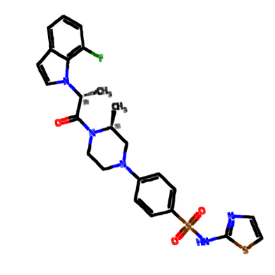 C[C@H](C(=O)N1CCN(c2ccc(S(=O)(=O)Nc3nccs3)cc2)C[C@@H]1C)n1ccc2cccc(F)c21